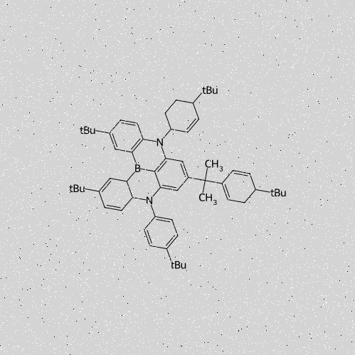 CC(C)(C)C1=CC2B3c4cc(C(C)(C)C)ccc4N(C4C=CC(C(C)(C)C)CC4)c4cc(C(C)(C)C5=CCC(C(C)(C)C)C=C5)cc(c43)N(c3ccc(C(C)(C)C)cc3)C2C=C1